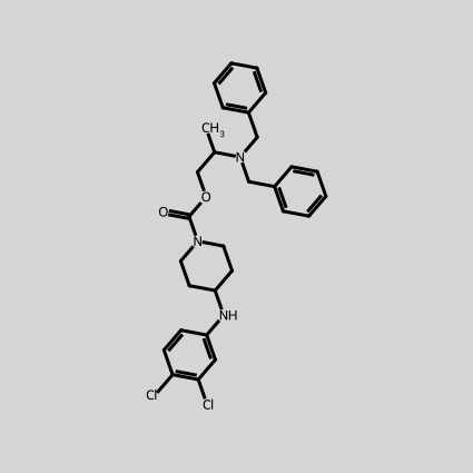 CC(COC(=O)N1CCC(Nc2ccc(Cl)c(Cl)c2)CC1)N(Cc1ccccc1)Cc1ccccc1